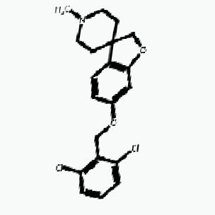 CN1CCC2(CC1)COc1cc(OCc3c(Cl)cccc3Cl)ccc12